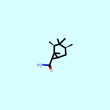 C[C@@H]1C2(C)C(C[C@H](C)C1(C)C)C2C(N)=O